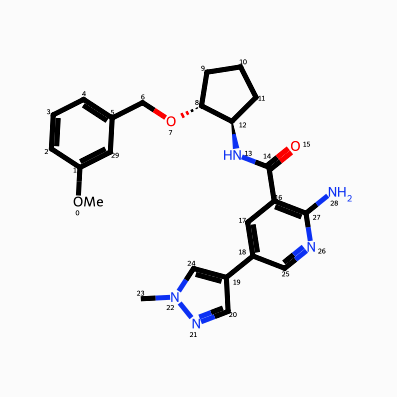 COc1cccc(CO[C@@H]2CCC[C@H]2NC(=O)c2cc(-c3cnn(C)c3)cnc2N)c1